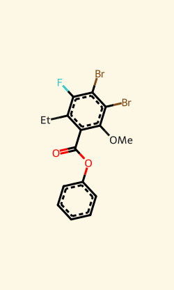 CCc1c(F)c(Br)c(Br)c(OC)c1C(=O)Oc1ccccc1